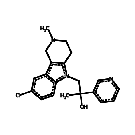 CN1CCc2c(c3cc(Cl)ccc3n2CC(C)(O)c2cccnc2)C1